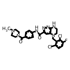 CN1CCN(C(=O)c2ccc(NC(=O)c3cc4c(nn3)NCCN4Cc3c(Cl)ccc(F)c3Cl)cc2)CC1